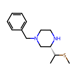 CSC(C)[C@@H]1CN(Cc2ccccc2)CCN1